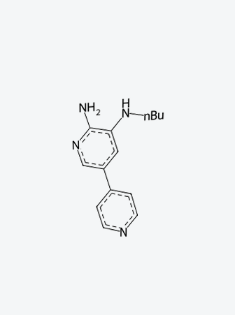 CCCCNc1cc(-c2ccncc2)cnc1N